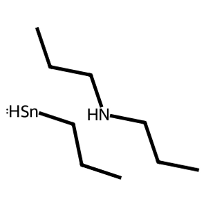 CCCNCCC.CC[CH2][SnH]